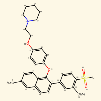 COc1ccc2c(Oc3ccc(OCCN4CCCCC4)cc3)c(-c3ccc(S(C)(=O)=O)c(OC)c3)ccc2c1